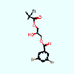 CCC(C)(C)C(=O)OCC(O)COC(=O)c1cc(Br)cc(Br)c1